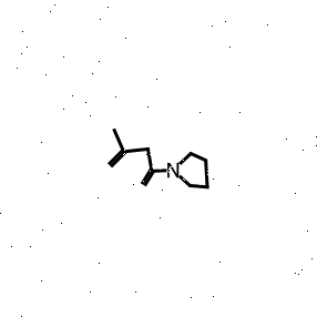 C=C(C)CC(=C)N1CCCC1